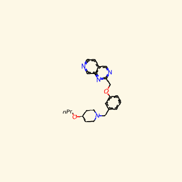 CCCOC1CCN(Cc2cccc(OCc3ncc4ccncc4n3)c2)CC1